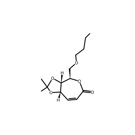 CCCCOC[C@H]1OC(=O)C=C[C@@H]2OC(C)(C)O[C@@H]21